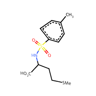 CSCCC(NS(=O)(=O)c1ccc(C)cc1)C(=O)O